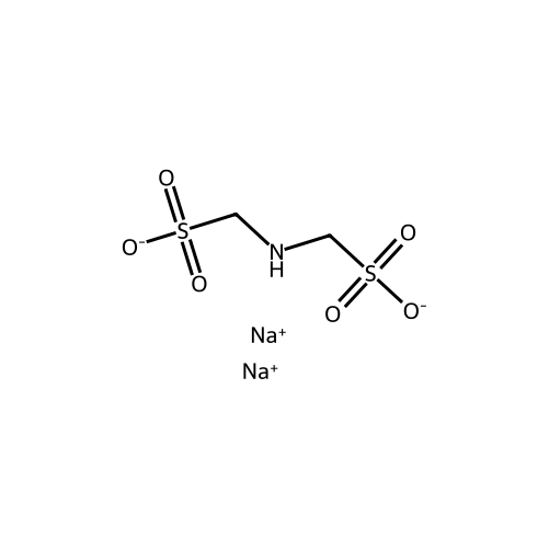 O=S(=O)([O-])CNCS(=O)(=O)[O-].[Na+].[Na+]